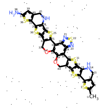 Cc1cc2c(s1)-c1sc3c4c(sc3c1NC2)-c1c(c2c(c3nsnc13)-c1sc3c5c(sc3c1CO2)-c1sc(N)cc1CN5)OC4